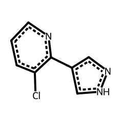 Clc1cccnc1-c1cn[nH]c1